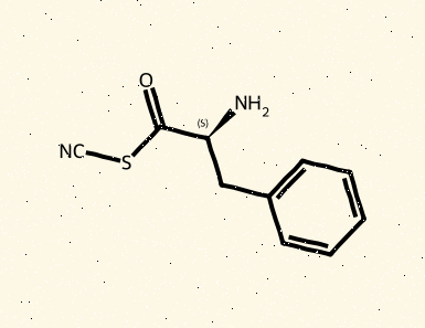 N#CSC(=O)[C@@H](N)Cc1ccccc1